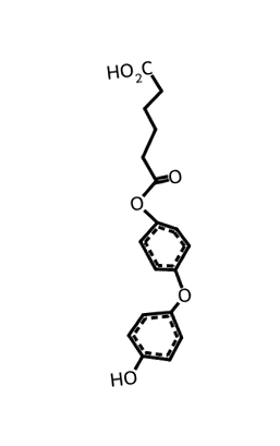 O=C(O)CCCCC(=O)Oc1ccc(Oc2ccc(O)cc2)cc1